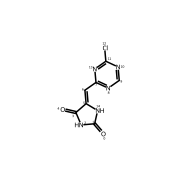 O=C1NC(=O)/C(=C/c2ncnc(Cl)n2)N1